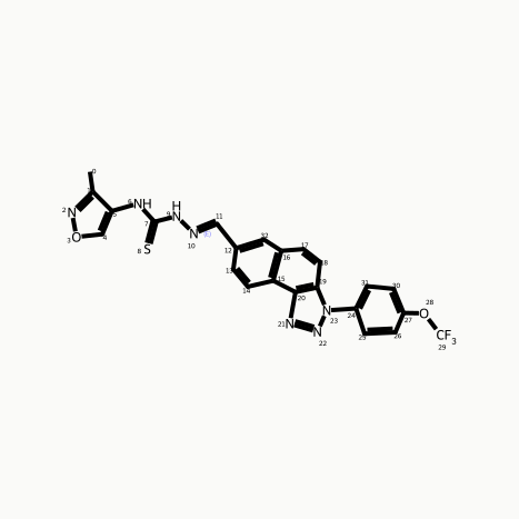 Cc1nocc1NC(=S)N/N=C/c1ccc2c(ccc3c2nnn3-c2ccc(OC(F)(F)F)cc2)c1